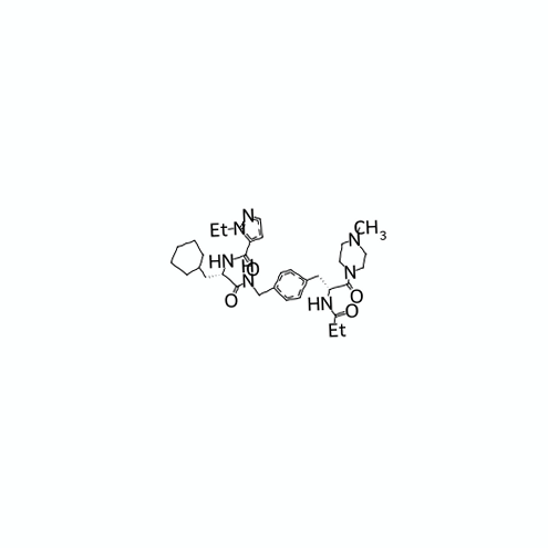 CCC(=O)N[C@H](Cc1ccc(CNC(=O)[C@H](CC2CCCCC2)NC(=O)c2ccnn2CC)cc1)C(=O)N1CCN(C)CC1